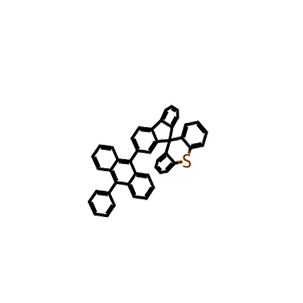 c1ccc(-c2c3ccccc3c(-c3ccc4c(c3)C3(c5ccccc5Sc5ccccc53)c3ccccc3-4)c3ccccc23)cc1